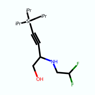 CC(C)[Si](C#CC(CO)NCC(F)F)(C(C)C)C(C)C